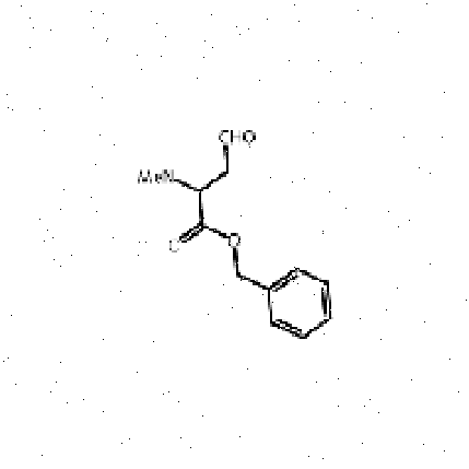 CNC(CC=O)C(=O)OCc1ccccc1